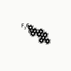 FC(F)(F)c1ccc2c(c1)Oc1cccc3c(-c4ccc(-c5c6ccccc6c(-c6ccccc6)c6ccccc56)c5ccccc45)ccc-2c13